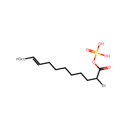 CCCCCCCCC=CCCCCCCC(CC)C(=O)OP(=O)(O)O